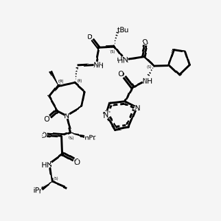 CCC[C@@H](C(=O)C(=O)N[C@@H](C)C(C)C)N1CC[C@@H](CNC(=O)[C@@H](NC(=O)[C@@H](NC(=O)c2cnccn2)C2CCCC2)C(C)(C)C)[C@H](C)CC1=O